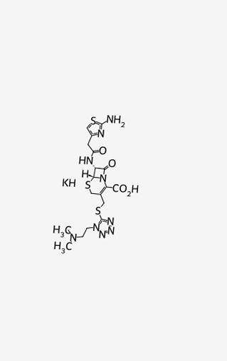 CN(C)CCn1nnnc1SCC1=C(C(=O)O)N2C(=O)[C@@H](NC(=O)Cc3csc(N)n3)[C@H]2SC1.[KH]